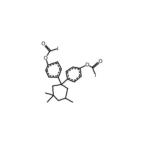 CC1CC(C)(C)CC(c2ccc(OC(=O)I)cc2)(c2ccc(OC(=O)I)cc2)C1